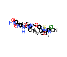 C[C@@H]1CN(CCO[C@H]2CC[C@H](N3C(=S)N(c4cnc(C#N)c(Cl)c4)C(=O)C3(C)C)CC2)C[C@H](C)N1CC(=O)Nc1ccc(C2CCC(=O)NC2=O)nc1